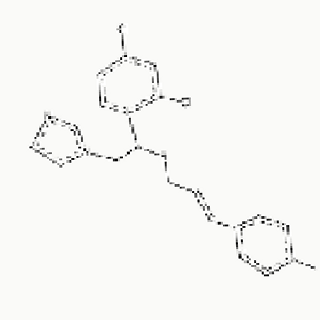 Cc1ccc(C=CCSC(Cn2ccnc2)c2ccc(Cl)cc2Cl)cc1